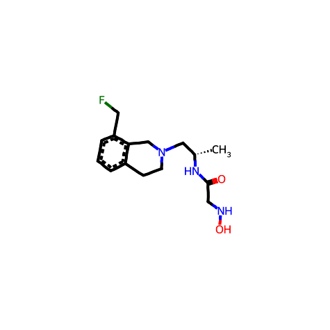 C[C@@H](CN1CCc2cccc(CF)c2C1)NC(=O)CNO